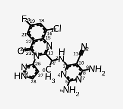 C[C@H](Nc1nc(N)nc(N)c1C#N)c1nc2c(Cl)cc(F)cc2c(=O)n1-c1cc[nH]n1